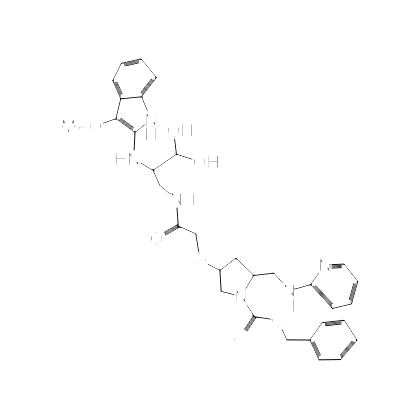 COc1c(NC(CNC(=O)COC2CC(CNc3ccccn3)N(C(=O)OCc3ccccc3)C2)C(O)O)[nH]c2ccccc12